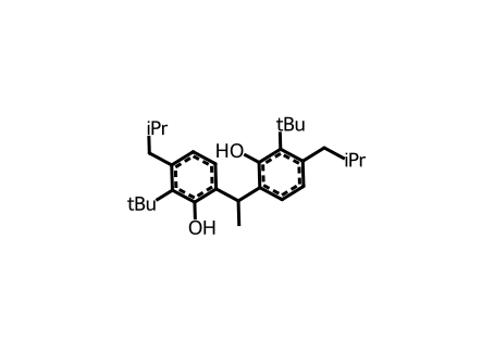 CC(C)Cc1ccc(C(C)c2ccc(CC(C)C)c(C(C)(C)C)c2O)c(O)c1C(C)(C)C